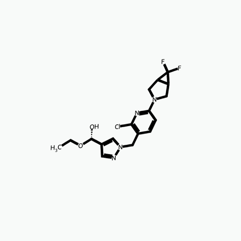 CCO[C@H](O)c1cnn(Cc2ccc(N3CC4C(C3)C4(F)F)nc2Cl)c1